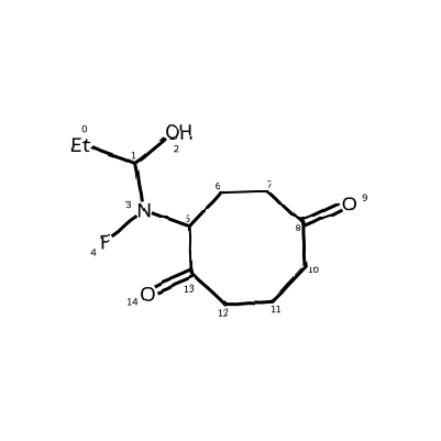 CCC(O)N(F)C1CCC(=O)CCCC1=O